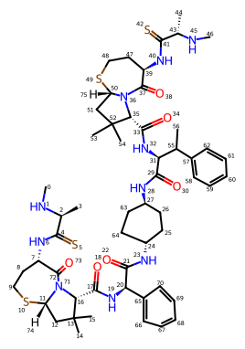 CN[C@@H](C)C(=S)N[C@H]1CCS[C@H]2CC(C)(C)[C@@H](C(=O)N[C@@H](C(=O)N[C@H]3CC[C@H](NC(=O)[C@@H](NC(=O)[C@H]4N5C(=O)[C@H](NC(=S)[C@H](C)NC)CCS[C@H]5CC4(C)C)C(C)c4ccccc4)CC3)c3ccccc3)N2C1=O